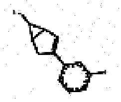 N#CC1C2C=C(c3cccc(F)c3)CC12